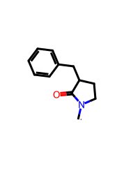 [CH2]N1CCC(Cc2ccccc2)C1=O